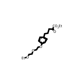 CCOCCOCCOc1ccc(CCCC(=O)C(=O)OCC)cc1